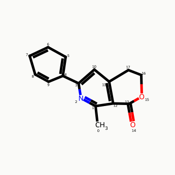 Cc1nc(-c2ccccc2)cc2c1C(=O)OCC2